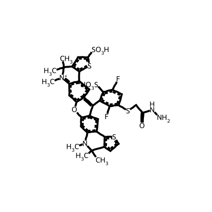 CN1c2cc3c(cc2-c2sccc2C1(C)C)C(c1c(F)c(SCC(=O)NN)cc(F)c1S(=O)(=O)O)=c1cc2c(cc1O3)=[N+](C)C(C)(C)c1cc(S(=O)(=O)O)sc1-2